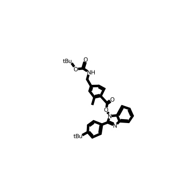 Cc1cc(CNC(=O)OC(C)(C)C)ccc1C(=O)On1c(-c2ccc(C(C)(C)C)cc2)nc2ccccc21